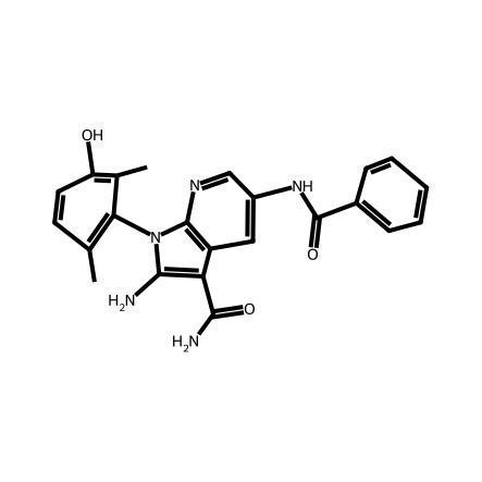 Cc1ccc(O)c(C)c1-n1c(N)c(C(N)=O)c2cc(NC(=O)c3ccccc3)cnc21